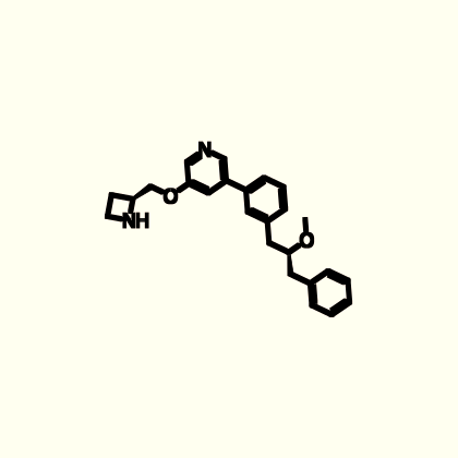 CO[C@@H](Cc1ccccc1)Cc1cccc(-c2cncc(OC[C@@H]3CCN3)c2)c1